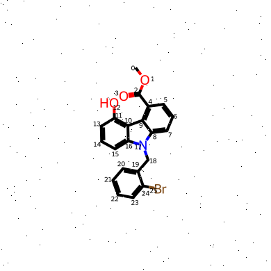 COC(=O)c1cccc2c1c1c(O)cccc1n2Cc1ccccc1Br